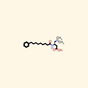 CN(C)C[C@@H](CC(=O)O)NC(=O)CCCCCCCCc1ccccc1